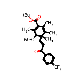 COC1C(C)=C(C(=O)OC(C)(C)C)C(C)=C(C)C1(C)C=CC(=O)c1ccc(C(F)(F)F)cc1